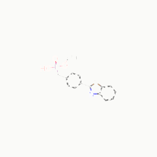 CCC(C)OP(=O)(O)Cc1ccc(-c2nc3ccccc3s2)cc1